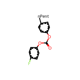 CCCCCc1ccc(OC(=O)Oc2ccc(F)cc2)cc1